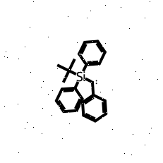 CC(C)(C)[Si]([C]c1ccccc1)(c1ccccc1)c1ccccc1